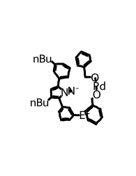 CCCCC1=C(c2cccc(CC)c2)[N+](=[N-])C(c2cccc(CCCC)c2)=C1.c1ccc(C[O][Pd][O]Cc2ccccc2)cc1